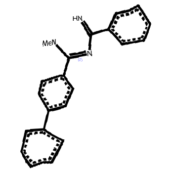 CN/C(=N\C(=N)c1ccccc1)c1ccc(-c2ccccc2)cc1